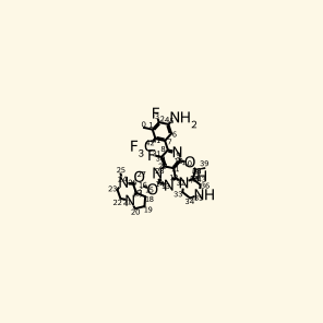 Cc1c(F)c(N)cc(-c2nc3c4c(nc(OC[C@]56CCCN5CCN(C)C6=O)nc4c2F)N2CCNC[C@H]2[C@H](C)O3)c1C(F)(F)F